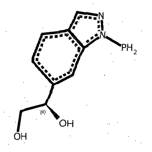 OC[C@H](O)c1ccc2cnn(P)c2c1